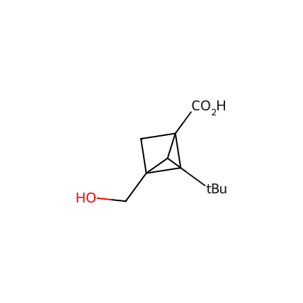 CC(C)(C)C1C2(CO)CC1(C(=O)O)C2